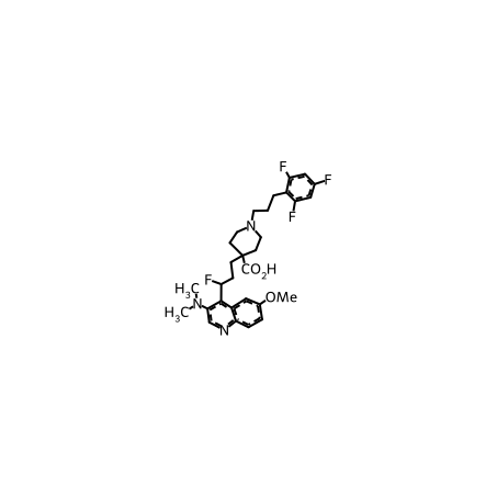 COc1ccc2ncc(N(C)C)c(C(F)CCC3(C(=O)O)CCN(CCCc4c(F)cc(F)cc4F)CC3)c2c1